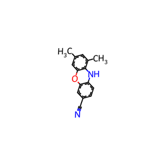 Cc1cc(C)c2c(c1)Oc1cc(C#N)ccc1N2